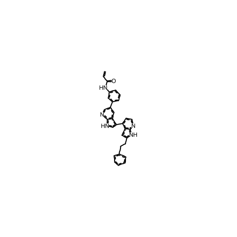 C=CC(=O)Nc1cccc(-c2cnc3[nH]cc(-c4ccnc5[nH]c(CCc6ccccc6)cc45)c3c2)c1